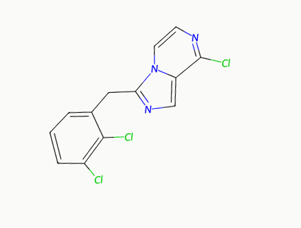 Clc1cccc(Cc2ncc3c(Cl)nccn23)c1Cl